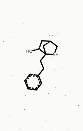 OC1CC2CNC1(CCc1ccccc1)C2